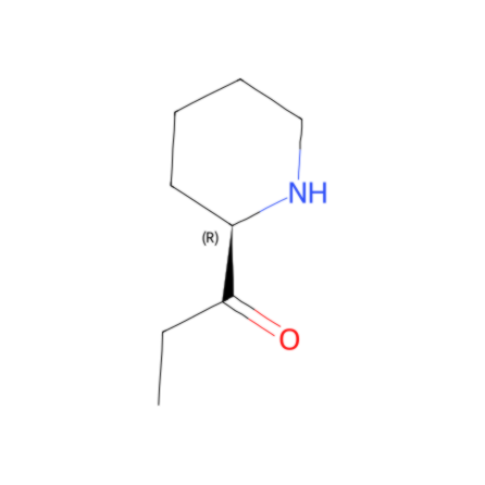 CCC(=O)[C@H]1CCCCN1